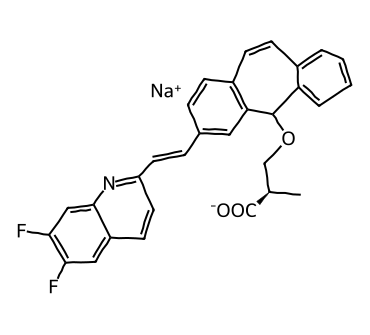 C[C@H](COC1c2ccccc2C=Cc2ccc(/C=C/c3ccc4cc(F)c(F)cc4n3)cc21)C(=O)[O-].[Na+]